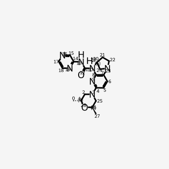 C[C@@H]1CN(c2ccc3c(n2)N(C(=O)Nc2cnccn2)[C@H]2CCN3C2)C[C@@H](C)O1